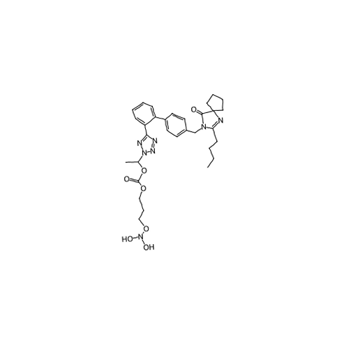 CCCCC1=NC2(CCCC2)C(=O)N1Cc1ccc(-c2ccccc2-c2nnn(C(C)OC(=O)OCCCON(O)O)n2)cc1